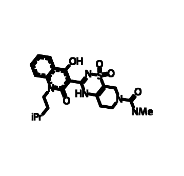 CNC(=O)N1CCC2=C(C1)S(=O)(=O)N=C(c1c(O)c3ccccc3n(CCC(C)C)c1=O)N2